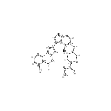 C[C@@H](Oc1csc(-n2cnc3ccc(OC4CCN(C(=O)OC(C)(C)C)CC4)c(Br)c32)c1)c1ccccc1Cl